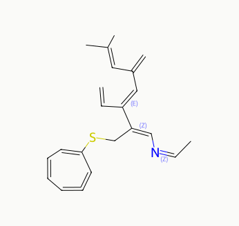 C=CC(=C\C(=C)C=C(C)C)/C(=C/N=C\C)CSC1=CC=CC=C=C1